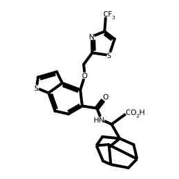 O=C(NC(C(=O)O)C12CC3CC(CC(C3)C1)C2)c1ccc2sccc2c1OCc1nc(C(F)(F)F)cs1